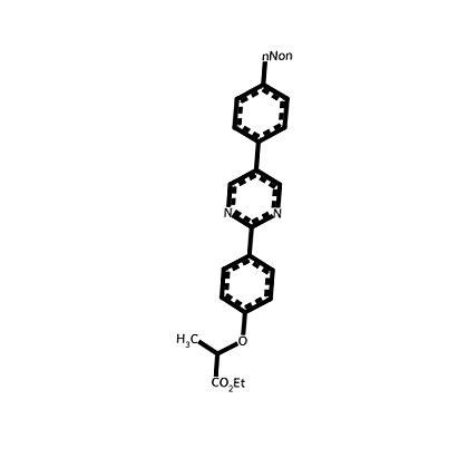 CCCCCCCCCc1ccc(-c2cnc(-c3ccc(OC(C)C(=O)OCC)cc3)nc2)cc1